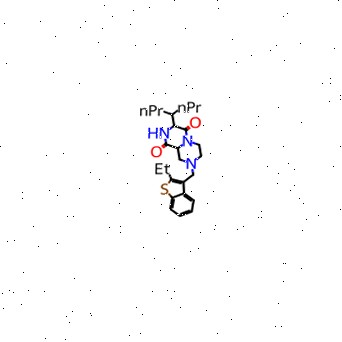 CCCC(CCC)C1NC(=O)C2CN(Cc3c(CC)sc4ccccc34)CCN2C1=O